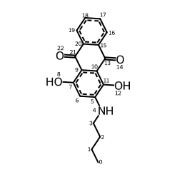 CCCCNc1cc(O)c2c(c1O)C(=O)c1ccccc1C2=O